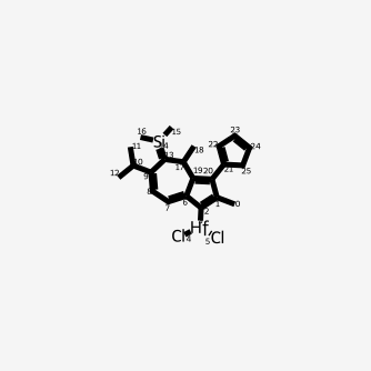 CC1=[C]([Hf]([Cl])[Cl])C2=CC=C(C(C)C)C(=[Si](C)C)C(C)C2=C1C1=CC=CC1